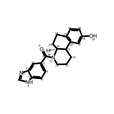 O=C(c1ccc2[nH]cnc2c1)N1CCCC2c3cc(O)ccc3CC[C@@H]21